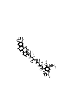 COc1ccc2c(c1)CCC1C2CCC2(C)C(OCCC(=O)NCCCNC(=O)c3c(OC)ccc(N)c3O)CCC12